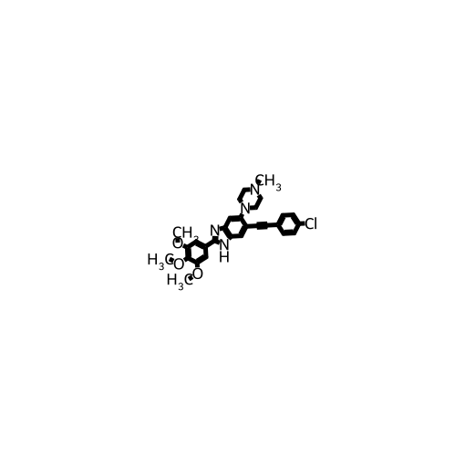 COc1cc(-c2nc3cc(N4CCN(C)CC4)c(C#Cc4ccc(Cl)cc4)cc3[nH]2)cc(OC)c1OC